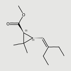 CCC(=C[C@H]1[C@H](C(=O)OC)C1(C)C)CC